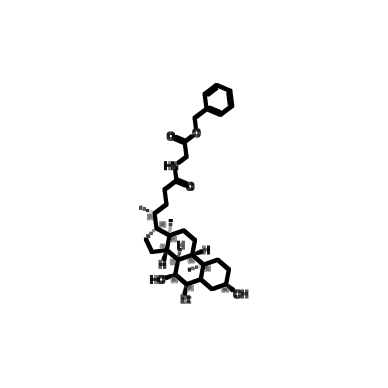 CC[C@@H]1C2C[C@H](O)CC[C@]2(C)[C@H]2CC[C@]3(C)[C@@H]([C@H](C)CCC(=O)NCC(=O)OCc4ccccc4)CC[C@H]3[C@@H]2[C@@H]1O